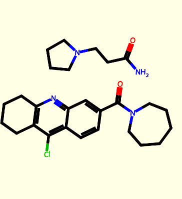 NC(=O)CCN1CCCC1.O=C(c1ccc2c(Cl)c3c(nc2c1)CCCC3)N1CCCCCC1